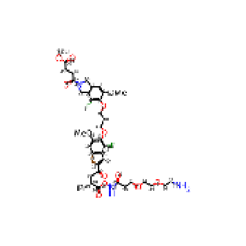 COc1cc2c(c(F)c1OCCCOc1c(OC)cc3sc(C(=O)C[C@H](C(=O)ONC(=O)CCOCCOCCN)C(C)C)cc3c1F)CN(C(=O)CCC(=O)OC(C)(C)C)C2